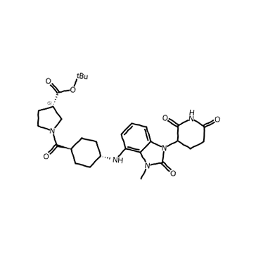 Cn1c(=O)n(C2CCC(=O)NC2=O)c2cccc(N[C@H]3CC[C@H](C(=O)N4CC[C@H](C(=O)OC(C)(C)C)C4)CC3)c21